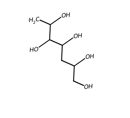 [CH2]C(O)C(O)C(O)CC(O)CO